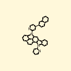 c1ccc(-n2c3ccccc3c3cc4c5c(ccc6cccc(c65)n4-c4cc(-c5ccc6ccccc6c5)ccn4)c32)nc1